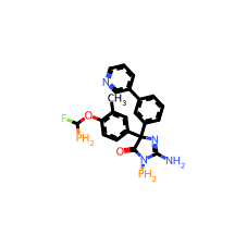 Cc1cc(C2(c3cccc(-c4cccnc4)c3)N=C(N)N(P)C2=O)ccc1OC(F)P